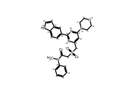 CN(C(=O)CS(=O)(=O)Cc1cc(N2CCOCC2)nc(-c2ccc3[nH]ccc3c2)n1)c1ccccc1